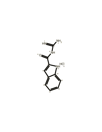 Cl.N=C(N)NC(=O)c1cc2ccccc2[nH]1